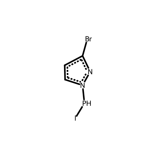 Brc1ccn(PI)n1